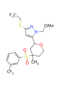 COCn1nc(SCC(F)(F)F)cc1C1CC(C)(S(=O)(=O)c2cccc(C(F)(F)F)c2)CCO1